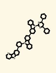 c1ccc(-c2cc(-c3ccccc3)nc(-n3c4ccccc4c4cc(-c5ccc6c(c5)c5ccccc5n6-c5cccc(-c6ccc7sc8cccnc8c7c6)c5)ccc43)n2)cc1